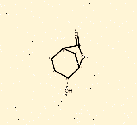 O=C1OC2CC1CC[C@H]2O